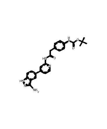 CC(C)(C)OC(=O)Nc1ccc(CC(=O)Nc2cc(-c3ccc4[nH]nc(N)c4c3)ccn2)cc1